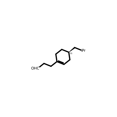 CC(C)C[C@H]1CC=C(CCC=O)CC1